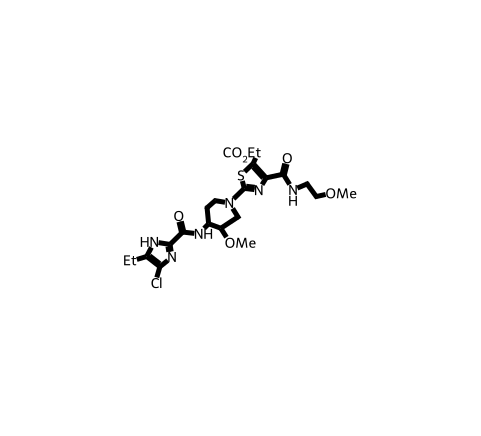 CCOC(=O)c1sc(N2CCC(NC(=O)c3nc(Cl)c(CC)[nH]3)C(OC)C2)nc1C(=O)NCCOC